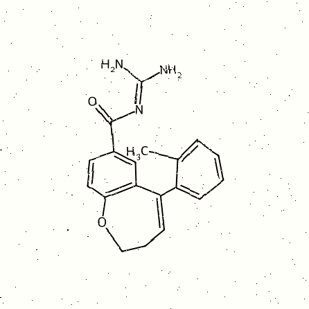 Cc1ccccc1C1=CCCOc2ccc(C(=O)N=C(N)N)cc21